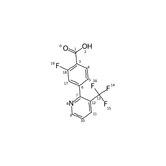 O=C(O)c1ccc(-c2ncccc2C(F)(F)F)cc1F